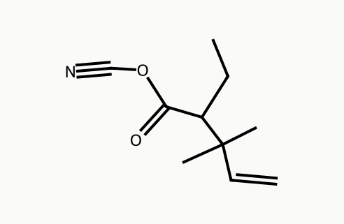 C=CC(C)(C)C(CC)C(=O)OC#N